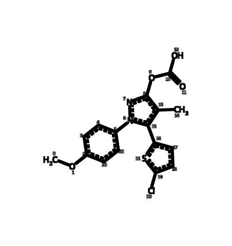 COc1ccc(-n2nc(OC(=O)O)c(C)c2-c2ccc(Cl)s2)cc1